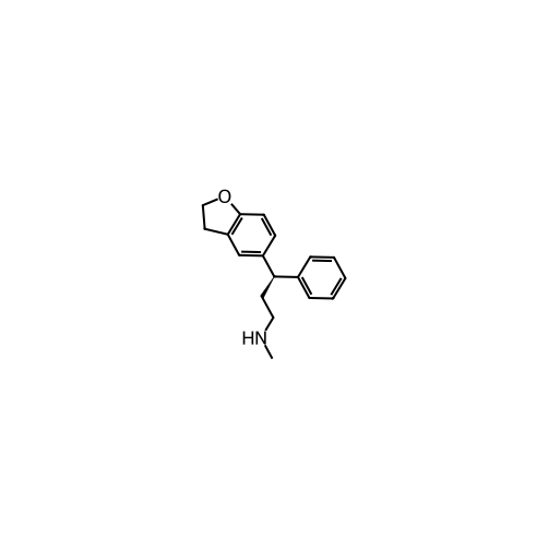 CNCC[C@H](c1ccccc1)c1ccc2c(c1)CCO2